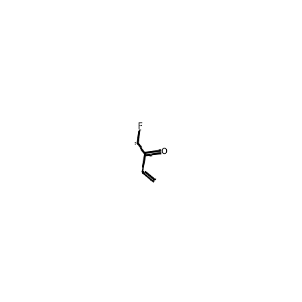 C=CC(=O)[C]F